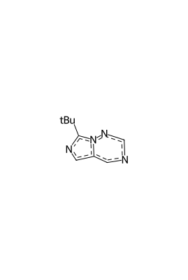 CC(C)(C)c1ncc2cncnn12